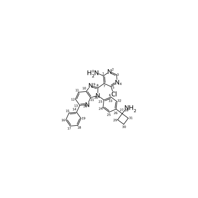 Nc1ncnc(Cl)c1-c1nc2ccc(-c3ccccc3)nc2n1-c1ccc(C2(N)CCC2)cc1